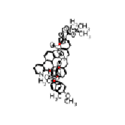 COc1ccc(CN(Cc2ccc(OC)cc2)S(=O)(=O)c2c(S(=O)(=O)C3CN(C(=O)OC(C)(C)C)C3)ccc(-c3cccnc3NS(=O)(=O)c3ccc(C)cc3)c2-c2nnn(Cc3ccc(OC)cc3)n2)cc1